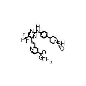 COC(=O)c1ccnc(/C=C/c2nc(Nc3ccc(C4CCN(BC=O)CC4)cc3)ncc2C(F)(F)F)c1